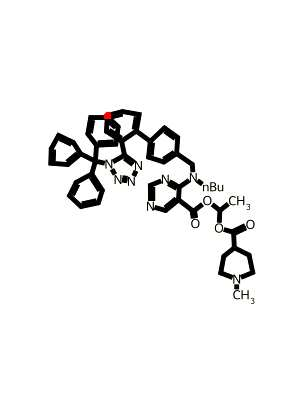 CCCCN(Cc1ccc(-c2ccccc2-c2nnnn2C(c2ccccc2)(c2ccccc2)c2ccccc2)cc1)c1ncncc1C(=O)OC(C)OC(=O)C1CCN(C)CC1